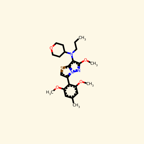 CCCN(c1c(OC)nn2c(-c3c(OC)cc(C)cc3OC)csc12)C1CCOCC1